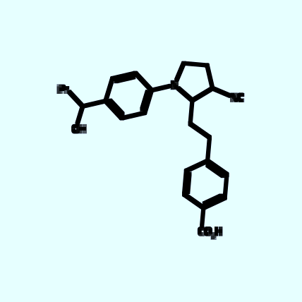 [C-]#[N+]C1CCN(c2ccc(C(O)C(C)C)cc2)C1CCc1ccc(C(=O)O)cc1